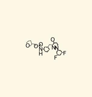 O=C(Nc1cccc(Cc2nn(-c3cc(F)cc(F)c3)ccc2=O)c1)OCC1CCCOC1